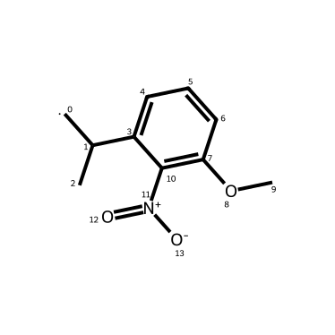 [CH2]C(C)c1cccc(OC)c1[N+](=O)[O-]